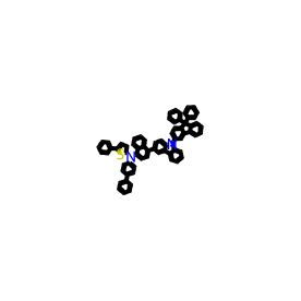 C1=C(c2ccccc2)SC(N(c2ccc(-c3ccccc3)cc2)c2ccc(-c3ccc4c(c3)c3ccccc3n4-c3ccc4c(c3)-c3ccccc3C4(c3ccccc3)c3ccccc3)c3ccccc23)C1